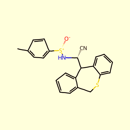 Cc1ccc([S@+]([O-])N[C@H](C#N)C2c3ccccc3CSc3ccccc32)cc1